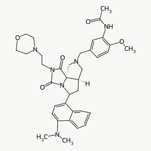 COc1ccc(CN2C[C@H]3CC(c4ccc(N(C)C)c5ccccc45)N4C(=O)N(CCN5CCOCC5)C(=O)[C@@]34C2)cc1NC(C)=O